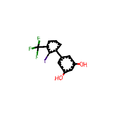 Oc1cc(O)cc(-c2cccc(C(F)(F)F)c2I)c1